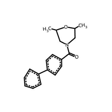 CC1CN(C(=O)c2ccc(-c3ccccc3)cc2)CC(C)O1